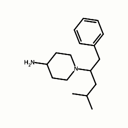 CC(C)CC(Cc1ccccc1)N1CCC(N)CC1